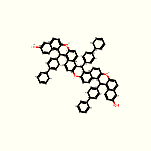 Oc1ccc2c3c(ccc2c1)Oc1ccc2c4c(ccc2c1C3C1=CCC(c2ccccc2)C=C1)Oc1ccc2c3c(ccc2c1C4c1ccc(C2C=CC=CC2)cc1)Oc1ccc2cc(O)ccc2c1C3C1C=CC(C2C=CC=CC2)=CC1